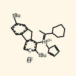 C[C](C1CCCCC1)=[Hf+2]([c]1c(C(C)(C)C)ccc2c1Cc1cc(C(C)(C)C)ccc1-2)[CH]1C=CC=C1.[Cl-].[Cl-]